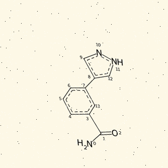 NC(=O)c1cccc(-c2cn[nH]c2)c1